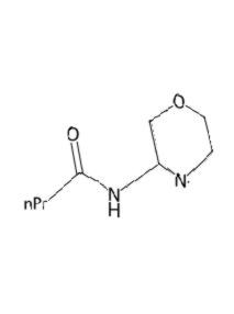 CCCC(=O)NC1COCC[N]1